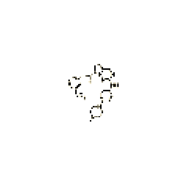 CN1CCN(c2ccc(Nc3ncc4ccc(NCc5cccc([N+](=O)[O-])c5)n4n3)cc2)CC1